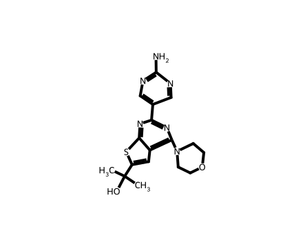 CC(C)(O)c1cc2c(N3CCOCC3)nc(-c3cnc(N)nc3)nc2s1